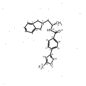 C[C@H](CN1Cc2ccccc2C1)NC(=O)c1ccc(-c2noc(C(F)(F)F)n2)cc1